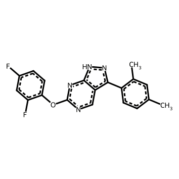 Cc1ccc(-c2n[nH]c3nc(Oc4ccc(F)cc4F)ncc23)c(C)c1